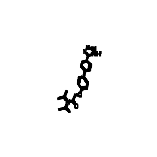 CC(C)N(C(=O)COc1ccc(-c2ccc(-c3nnn[nH]3)cc2)cc1)C(C)C